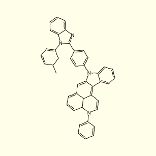 CC1C=CC=C(n2c(-c3ccc(-n4c5c(c6ccccc64)=C4C=CN(c6ccccc6)C6C=CC=C(C=5)C46)cc3)nc3ccccc32)C1